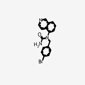 NC(=O)N(Cc1ccc(Br)cc1)c1cccc2cnccc12